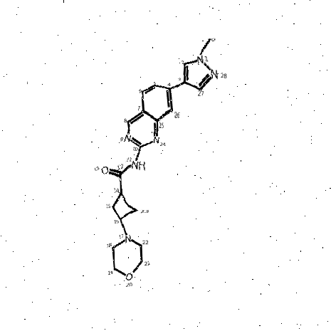 Cn1cc(-c2ccc3cnc(NC(=O)C4CC(N5CCOCC5)C4)nc3c2)cn1